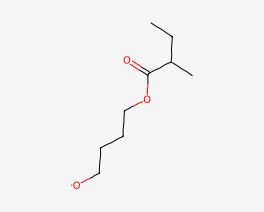 CCC(C)C(=O)OCCCC[O]